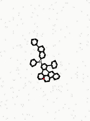 c1ccc(-c2ccc3ccc(N(c4ccccc4)c4cc(-c5ccccc5)c(-c5cc6ccccc6c6ccccc56)c(-c5ccccc5)c4)cc3c2)cc1